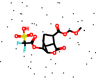 COCOC(=O)C1C2CC3C(OC(=O)C31)C2OC(=O)C(F)(F)S(=O)(=O)O